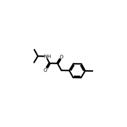 Cc1ccc(CC(=O)C(=O)NC(C)C)cc1